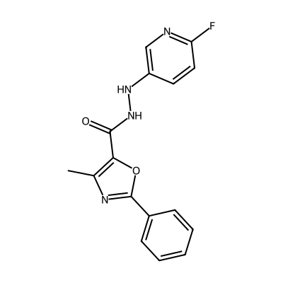 Cc1nc(-c2ccccc2)oc1C(=O)NNc1ccc(F)nc1